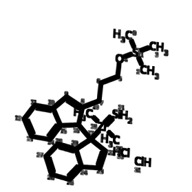 C[Si](C)(C)OCCCC1=Cc2ccccc2C1[C]1([Zr]([CH3])([CH3])=[SiH2])C=Cc2ccccc21.Cl.Cl